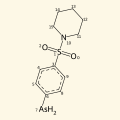 O=S(=O)(c1ccc([AsH2])cc1)N1CCCCC1